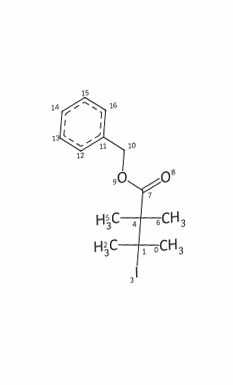 CC(C)(I)C(C)(C)C(=O)OCc1ccccc1